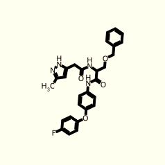 Cc1cc(CC(=O)NC(COCc2ccccc2)C(=O)Nc2ccc(Oc3ccc(F)cc3)cc2)[nH]n1